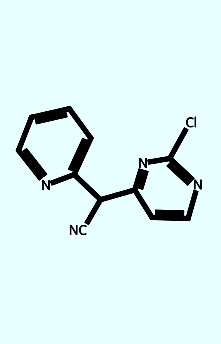 N#CC(c1ccccn1)c1ccnc(Cl)n1